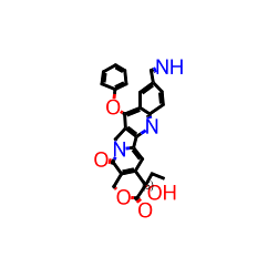 CC[C@@]1(O)C(=O)OCc2c1cc1n(c2=O)Cc2c-1nc1ccc(C=N)cc1c2Oc1ccccc1